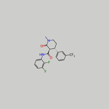 CN1CC[C@H](c2cccc(C(F)(F)F)c2)[C@@H](C(=O)Nc2cccc(F)c2F)C1=O